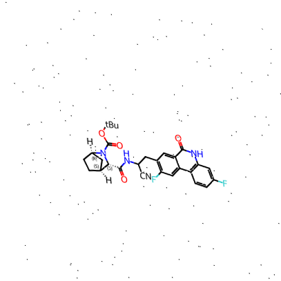 CC(C)(C)OC(=O)N1[C@@H]2CC[C@@H](C2)[C@H]1C(=O)NC(C#N)Cc1cc2c(=O)[nH]c3cc(F)ccc3c2cc1F